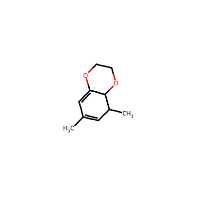 CC1=CC(C)C2OCCOC2=C1